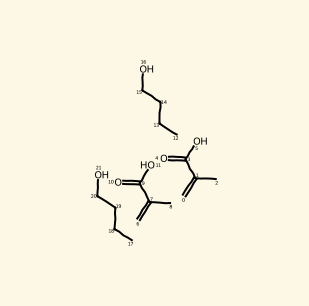 C=C(C)C(=O)O.C=C(C)C(=O)O.CCCCO.CCCCO